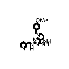 COc1ccc(CN2CCC3NNc4nc(NCc5cccnc5)nc2c43)cc1